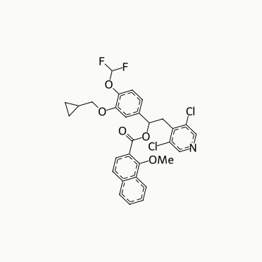 COc1c(C(=O)OC(Cc2c(Cl)cncc2Cl)c2ccc(OC(F)F)c(OCC3CC3)c2)ccc2ccccc12